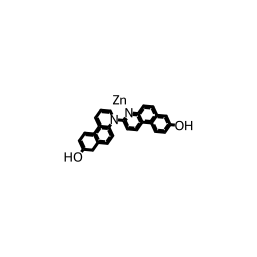 OC1=CC=c2c(ccc3c2=CC=CN3c2ccc3c(ccc4cc(O)ccc43)n2)C1.[Zn]